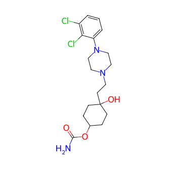 NC(=O)OC1CCC(O)(CCN2CCN(c3cccc(Cl)c3Cl)CC2)CC1